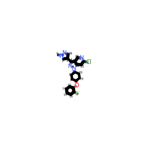 Cn1cc(-c2nn(C3CCC(Oc4ccccc4F)CC3)c3cc(Cl)ncc23)cn1